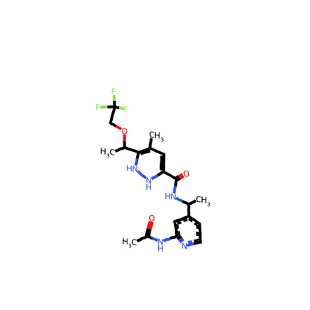 CC(=O)Nc1cc(C(C)NC(=O)C2=CC(C)=C(C(C)OCC(F)(F)F)NN2)ccn1